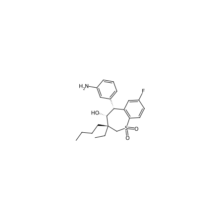 CCCC[C@]1(CC)CS(=O)(=O)c2ccc(F)cc2[C@@H](c2cccc(N)c2)[C@H]1O